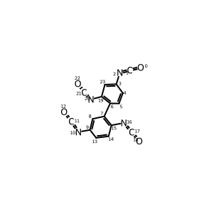 O=C=Nc1ccc(-c2cc(N=C=O)ccc2N=C=O)c(N=C=O)c1